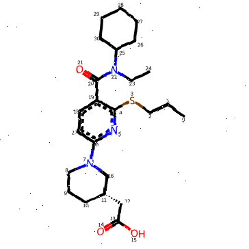 CCCSc1nc(N2CCC[C@@H](CC(=O)O)C2)ccc1C(=O)N(CC)C1CCCCC1